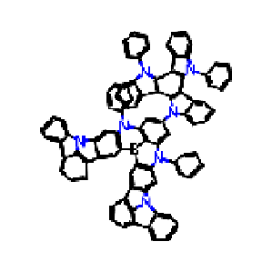 C1=Cc2c3n(c4cc5c(cc24)B2c4cc6c7cccc8c9ccccc9n(c6cc4N(c4ccccc4)c4cc(-n6c9ccccc9c9c%10c(c%11ccccc%11n%10-c%10ccccc%10)c%10c(c%11ccccc%11n%10-c%10ccccc%10)c96)cc(c42)N5c2ccccc2)c87)-c2ccccc2C3C1